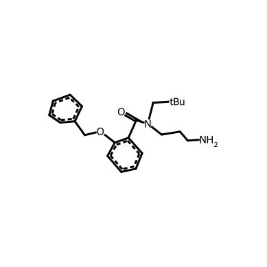 CC(C)(C)CN(CCCN)C(=O)c1ccccc1OCc1ccccc1